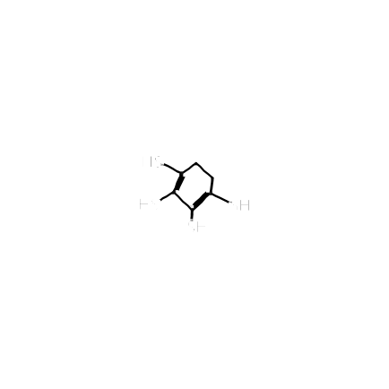 SC1=C(S)C(S)=C(S)C[CH]1